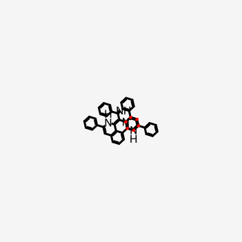 N=C(/C(=C1\NC(c2ccccc2)=Cc2cccc(C3N=C(c4ccccc4)C=C(c4ccccc4)N3)c21)c1ccccc1)c1ccccc1